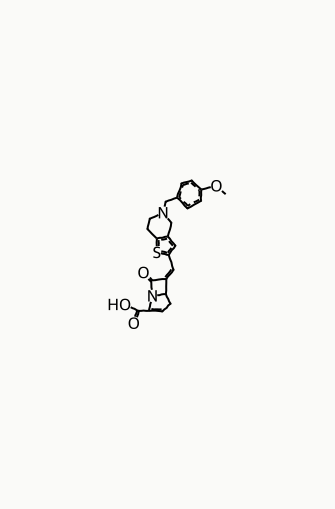 COc1ccc(CN2CCc3sc(C=C4C(=O)N5C(C(=O)O)=CCC45)cc3C2)cc1